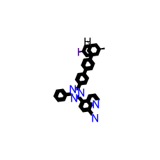 C[C@@H]1C[C@@H]2C[C@H](I)CC(c3ccc(-c4ccc(-c5nc(-c6ccccc6)nc(-c6ccc(C#N)c7ncccc67)n5)cc4)cc3)(C1)C2